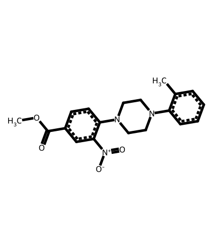 COC(=O)c1ccc(N2CCN(c3ccccc3C)CC2)c([N+](=O)[O-])c1